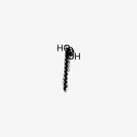 CCCCCCCCCCCCCCCCCC/C(=C/C(=O)O)C(=O)O